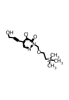 C[Si](C)(C)CCOCn1ncc(C#CCO)c(Cl)c1=O